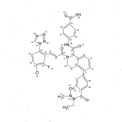 CCN(C(=O)c1ccc(-c2cccc3c2CCN(C(=O)C=Cc2c(-n4cnnn4)ccc(Cl)c2F)C3C(=O)Nc2ccc(C(=O)O)cc2)cc1)N(C)C